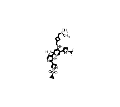 CN(C)CC1CC(CNC2=CC(N)(c3ccnc(-c4cnn(S(=O)(=O)C5CC5)c4)n3)NC=C2c2ccn(C(F)F)n2)C1